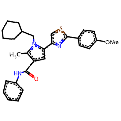 COc1ccc(-c2nc(-c3cc(C(=O)Nc4ccccc4)c(C)n3CC3CCCCC3)cs2)cc1